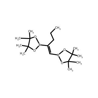 CCCC(=CB1OC(C)(C)C(C)(C)O1)B1OC(C)(C)C(C)(C)O1